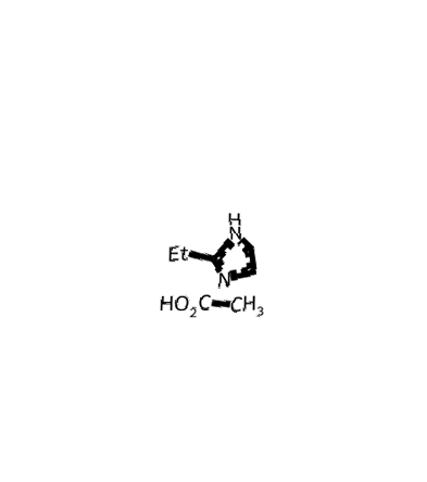 CC(=O)O.CCc1ncc[nH]1